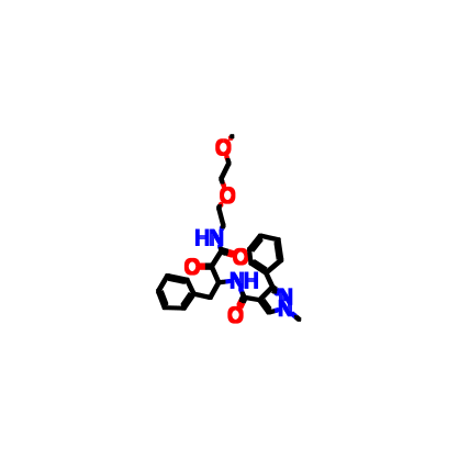 COCCOCCNC(=O)C(=O)C(Cc1ccccc1)NC(=O)c1cn(C)nc1-c1ccccc1